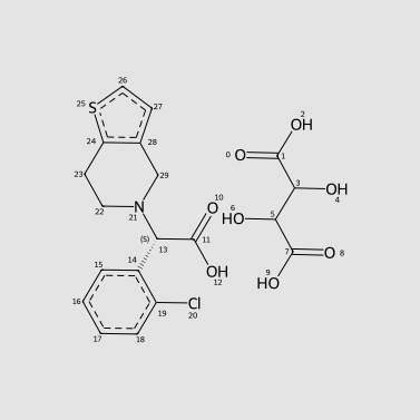 O=C(O)C(O)C(O)C(=O)O.O=C(O)[C@H](c1ccccc1Cl)N1CCc2sccc2C1